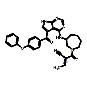 C/C=C(\C#N)C(=O)N1CCCCC(Nc2ncnc3[nH]cc(C(=O)c4ccc(Oc5ccccc5)cc4)c23)C1